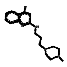 CN1CCN(CCCNc2cc(Br)c3ccccc3n2)CC1